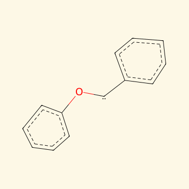 [C](Oc1ccccc1)c1ccccc1